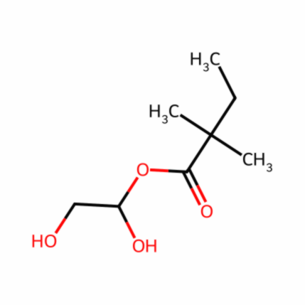 CCC(C)(C)C(=O)OC(O)CO